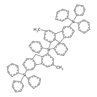 Cc1cc2c(c([Si](c3ccccc3)(c3ccccc3)c3cc(C)cc4c3Cc3ccc([Si](c5ccccc5)(c5ccccc5)c5ccccc5)cc3-4)c1)Cc1ccc([Si](c3ccccc3)(c3ccccc3)c3ccccc3)cc1-2